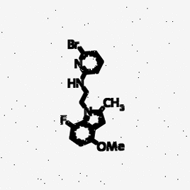 COc1ccc(F)c2c1cc(C)n2CCNc1cccc(Br)n1